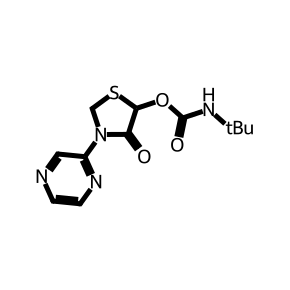 CC(C)(C)NC(=O)OC1SCN(c2cnccn2)C1=O